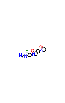 CN(C)[C@@H]1CCN(c2ccc(N3CCc4cc(N5CCCCC5=O)ccc4C3=O)cc2F)C1